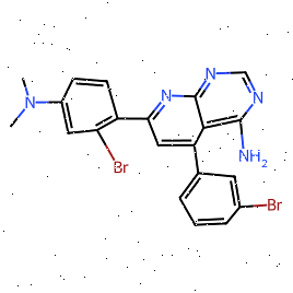 CN(C)c1ccc(-c2cc(-c3cccc(Br)c3)c3c(N)ncnc3n2)c(Br)c1